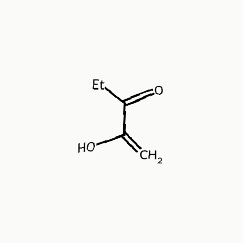 C=C(O)C(=O)CC